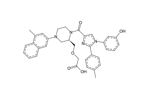 Cc1ccc(-c2nc(C(=O)N3CCN(c4cc(C)c5ccccc5c4)C[C@@H]3COCC(=O)O)cn2-c2cccc(O)c2)cc1